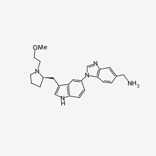 COCCN1CCC[C@@H]1Cc1c[nH]c2ccc(-n3cnc4cc(CN)ccc43)cc12